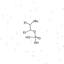 CCCCC(CC)C(CC)OP(=O)(O)O